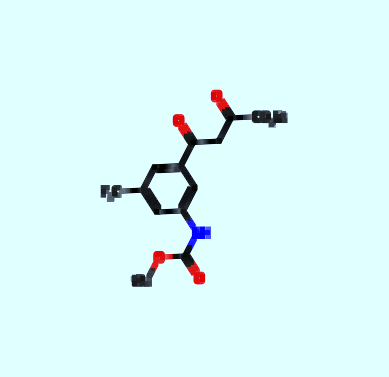 CCOC(=O)C(=O)CC(=O)c1cc(NC(=O)OC(C)(C)C)cc(C(F)(F)F)c1